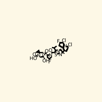 CC(C)C1=C(C(=O)N2C[C@H](F)C[C@@H]2C(=O)N2CC3(CC3)N(C(=O)O)C[C@@H]2CO)SC2=N[C@@](C)(c3ccc(Cl)nc3)[C@@H](c3ccc(Cl)c(F)c3)N21